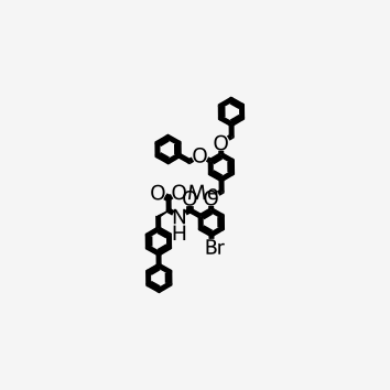 COC(=O)[C@H](Cc1ccc(-c2ccccc2)cc1)NC(=O)c1cc(Br)ccc1OCc1ccc(OCc2ccccc2)c(OCc2ccccc2)c1